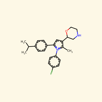 Cc1c(C2CNCCO2)cc(-c2ccc(C(C)C)cc2)n1-c1ccc(F)cc1